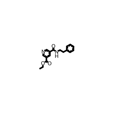 CCOC(=O)c1cncc(C(=O)NCCc2ccccc2)c1